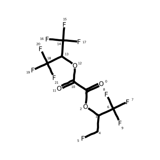 O=C(OC(CF)C(F)(F)F)C(=O)OC(C(F)(F)F)C(F)(F)F